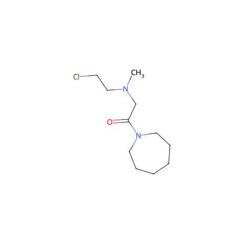 CN(CCCl)CC(=O)N1CCCCCC1